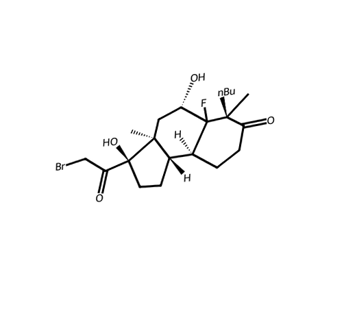 CCCC[C@@]1(C)C(=O)CC[C@H]2[C@@H]3CC[C@](O)(C(=O)CBr)[C@@]3(C)C[C@H](O)C21F